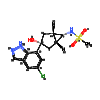 CS(=O)(=O)N[C@@H]1[C@@H]2C[C@@](O)(c3cc(Cl)cc4cn[nH]c34)C[C@@H]21